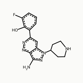 Nc1nn(C2CCNCC2)c2cc(-c3cccc(F)c3O)nnc12